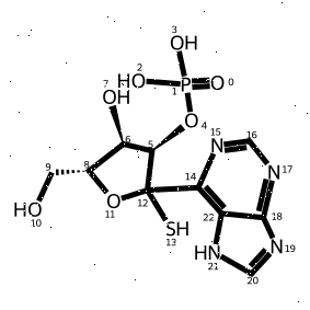 O=P(O)(O)O[C@@H]1[C@H](O)[C@@H](CO)OC1(S)c1ncnc2nc[nH]c12